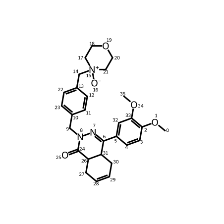 COc1ccc(C2=NN(Cc3ccc(C[N+]4([O-])CCOCC4)cc3)C(=O)C3CC=CCC23)cc1OC